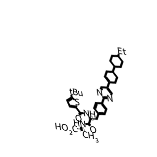 CCC1CCC(C2CC=C(c3cnc(-c4ccc(C[C@H](NC(=O)c5ccc(C(C)(C)C)s5)C(=O)N[C@H](C)C(=O)O)cc4)nc3)CC2)CC1